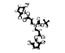 CC(C)(C)OC(=O)N(CCC(=O)ON1C(=O)CCC1=O)CCC(=O)ON1C(=O)CCC1=O